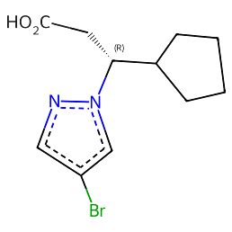 O=C(O)C[C@H](C1CCCC1)n1cc(Br)cn1